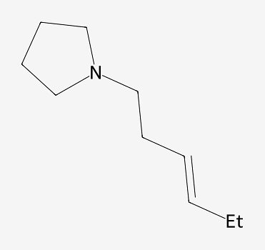 [CH2]CC=CCCN1CCCC1